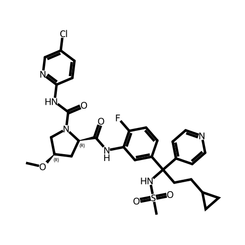 CO[C@@H]1C[C@H](C(=O)Nc2cc(C(CCC3CC3)(NS(C)(=O)=O)c3ccncc3)ccc2F)N(C(=O)Nc2ccc(Cl)cn2)C1